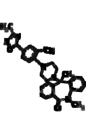 Cc1noc(-c2ccc(N3CCN(C4(C)c5ccccc5C(=O)N(C)c5ccccc54)CC3)c(C#N)c2)n1